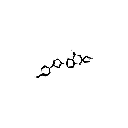 CCC1(CO)CC(=O)c2cc(C3=CC(c4ccc(O)cc4)=CC3)ccc2O1